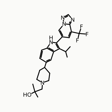 CC(C)c1c(-c2cc(C(F)(F)F)c3ncnn3c2)[nH]c2ccc(C3CCN(CC(C)(C)O)CC3)cc12